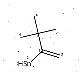 C=[C]([SnH])C(C)(C)C